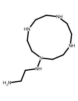 NCCNN1CCNCCNCCNCC1